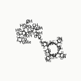 COc1cccc2c1C(=O)c1c(O)c3c(c(O)c1C2=O)C[C@@](O)(C(=O)CO)C[C@@H]3O[C@H]1C[C@H](NC(=O)OCCC[n+]2ccc(-c3c4nc(c(-c5ccncc5)c5ccc([nH]5)c(-c5ccncc5)c5nc(c(-c6ccncc6)c6ccc3[nH]6)C=C5)C=C4)cc2)[C@H](O)[C@H](C)O1